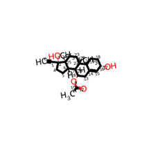 C#C[C@]1(O)CC[C@H]2[C@@H]3[C@@H](OC(C)=O)CC4=C[C@@H](O)CC[C@]4(C)[C@H]3CC[C@@]21C